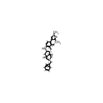 Cc1nn(C)cc1-c1ccc(N[C@H]2C[C@@H]3CN(CC4CC5C=CC4C5)C[C@@H]3C2)c(F)c1F